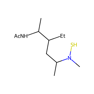 CCC(CC(C)N(C)S)C(C)NC(C)=O